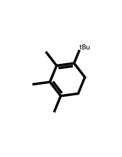 CC1=C(C)C(C)=C(C(C)(C)C)[CH]C1